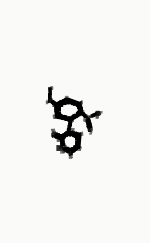 COc1ccc([N+](=O)[O-])c(-c2ccn[nH]c2=O)c1